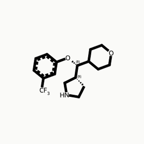 FC(F)(F)c1cccc(O[C@H](C2CCOCC2)[C@@H]2CCNC2)c1